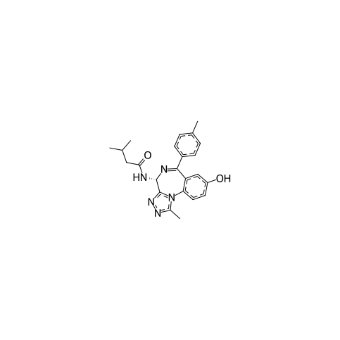 Cc1ccc(C2=N[C@@H](NC(=O)CC(C)C)c3nnc(C)n3-c3ccc(O)cc32)cc1